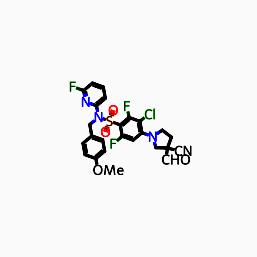 COc1ccc(CN(c2cccc(F)n2)S(=O)(=O)c2c(F)cc(N3CCC(C#N)(C=O)C3)c(Cl)c2F)cc1